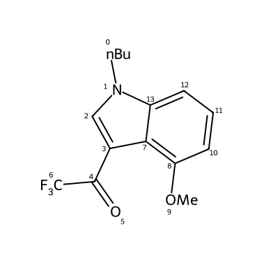 CCCCn1cc(C(=O)C(F)(F)F)c2c(OC)cccc21